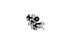 CCC#CC(=N)c1c(N)ncnc1NCC1=Nc2scc(C)c2CN1c1ccccc1CC